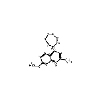 Cc1cc(N2CCCCCC2)c2ccc(CO)cc2n1